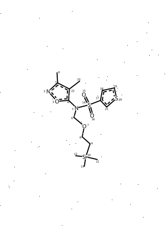 Cc1noc(N(COCC[Si](C)(C)C)S(=O)(=O)c2ccsc2)c1C